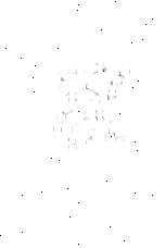 CCN1C(=O)[C@@](C)(CC)N(CC)c2nc(Cl)ncc21